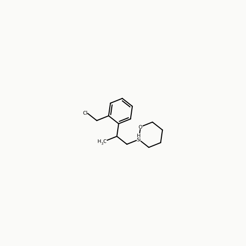 CC(C[SiH]1CCCCO1)c1ccccc1CCl